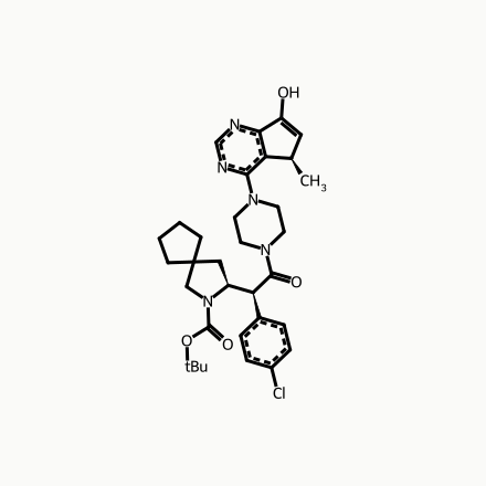 C[C@@H]1C=C(O)c2ncnc(N3CCN(C(=O)[C@@H](c4ccc(Cl)cc4)[C@@H]4CC5(CCCC5)CN4C(=O)OC(C)(C)C)CC3)c21